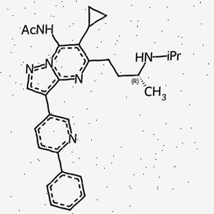 CC(=O)Nc1c(C2CC2)c(CC[C@@H](C)NC(C)C)nc2c(-c3ccc(-c4ccccc4)nc3)cnn12